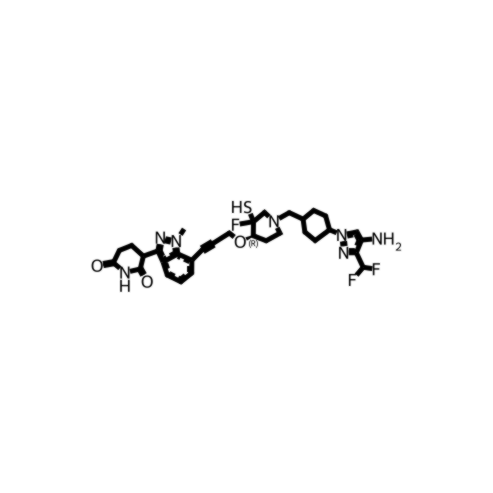 Cn1nc(C2CCC(=O)NC2=O)c2cccc(C#CCO[C@@H]3CCN(CC4CCC(n5cc(N)c(C(F)F)n5)CC4)CC3(F)S)c21